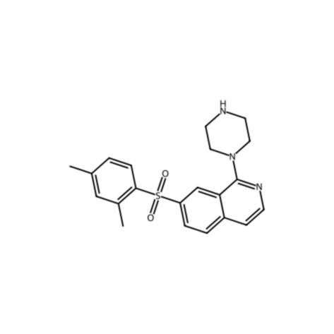 Cc1ccc(S(=O)(=O)c2ccc3ccnc(N4CCNCC4)c3c2)c(C)c1